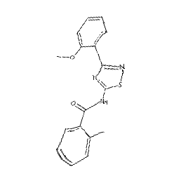 COc1ccccc1-c1nsc(NC(=O)c2ccccc2C)n1